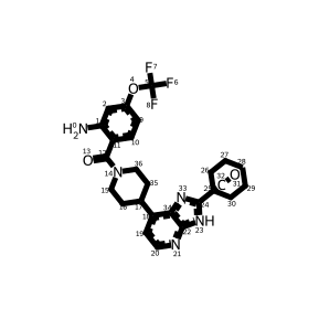 Nc1cc(OC(F)(F)F)ccc1C(=O)N1CCC(c2ccnc3[nH]c(C45CCC(CC4)OC5)nc23)CC1